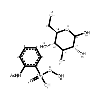 CC(=O)Nc1ccccc1[As](=O)(O)OO.OC[C@H]1OC(O)[C@H](O)[C@@H](O)[C@@H]1O